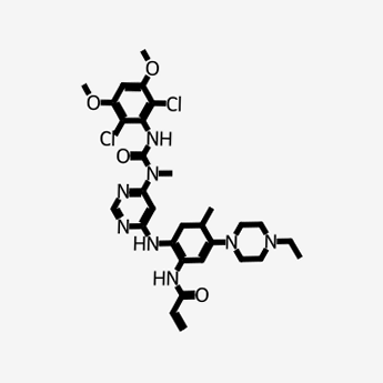 C=CC(=O)NC1=C(Nc2cc(N(C)C(=O)Nc3c(Cl)c(OC)cc(OC)c3Cl)ncn2)CC(C)C(N2CCN(CC)CC2)=C1